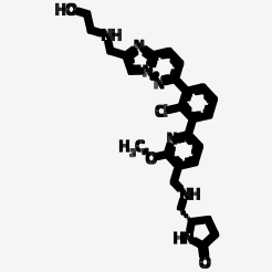 COc1nc(-c2cccc(-c3ccc4nc(CNCCO)cn4n3)c2Cl)ccc1CNC[C@@H]1CCC(=O)N1